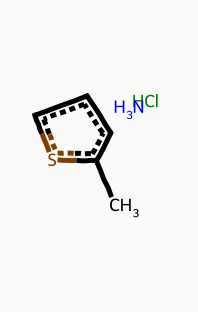 Cc1cccs1.Cl.N